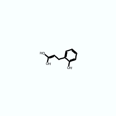 OC(O)=CCc1ccccc1O